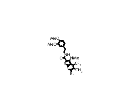 CCc1nc2sc(C(=O)NCCc3ccc(OC)c(OC)c3)c(NC)c2c(C(F)(F)F)c1C